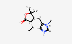 [2H]C1([2H])OC(=O)[C@@H](CC)[C@H]1Cc1cncn1C